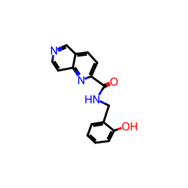 O=C(NCc1ccccc1O)c1ccc2cnccc2n1